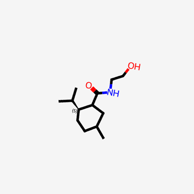 CC1CC[C@@H](C(C)C)C(C(=O)NCCO)C1